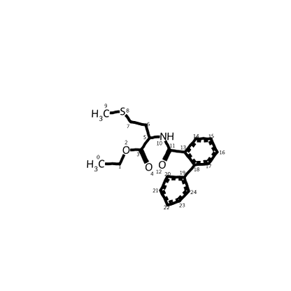 CCOC(=O)C(CCSC)NC(=O)c1ccccc1-c1ccccc1